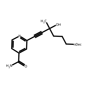 CCCCCCCCCCCCCC(C)(O)C#Cc1cc(C(N)=O)ccn1